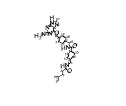 CC(C)CCC(=O)NCc1ccc(C(=O)NCc2ccc(COc3nc(N)nc4[nH]cnc34)cc2)cc1